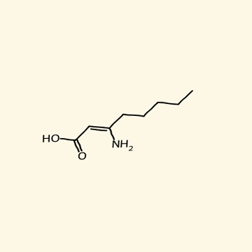 CCCCCC(N)=CC(=O)O